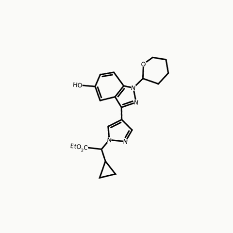 CCOC(=O)C(C1CC1)n1cc(-c2nn(C3CCCCO3)c3ccc(O)cc23)cn1